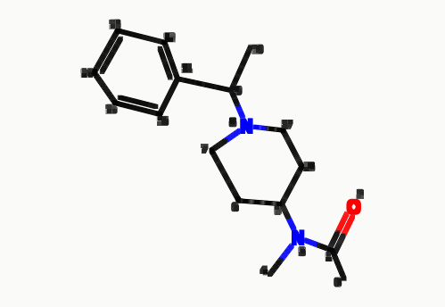 CC(=O)N(C)C1CCN(C(C)c2ccccc2)CC1